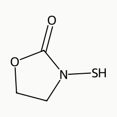 O=C1OCCN1S